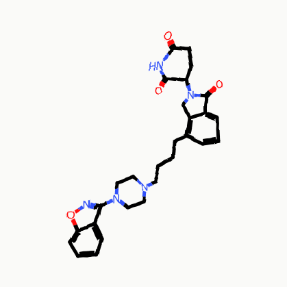 O=C1CCC(N2Cc3c(CCCCN4CCN(c5noc6ccccc56)CC4)cccc3C2=O)C(=O)N1